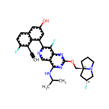 C#Cc1c(F)ccc2cc(O)cc(-c3ncc4c(NC(C)C)nc(OC[C@@]56CCCN5C[C@H](F)C6)nc4c3F)c12